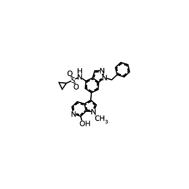 Cn1cc(-c2cc(NS(=O)(=O)C3CC3)c3cnn(Cc4ccccc4)c3c2)c2ccnc(O)c21